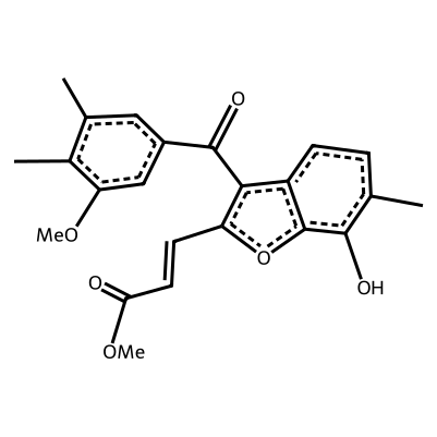 COC(=O)/C=C/c1oc2c(O)c(C)ccc2c1C(=O)c1cc(C)c(C)c(OC)c1